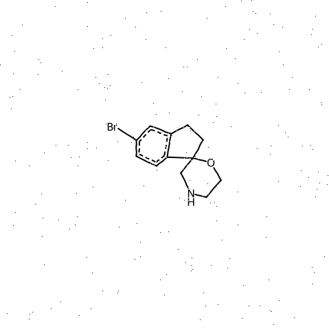 Brc1ccc2c(c1)CCC21CNCCO1